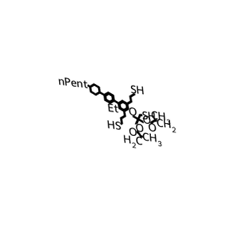 C=C(C)C(=O)OCC(CS)(COC(=O)C(=C)C)COc1c(CCCS)cc(-c2ccc(C3CCC(CCCCC)CC3)cc2CC)cc1CCCS